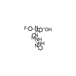 OCc1ccn2c(-c3ccnc(NCc4nc5ccccc5[nH]4)n3)c(-c3ccc(F)cc3)nc2c1